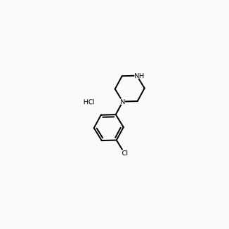 Cl.Clc1cccc(N2CCNCC2)c1